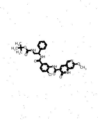 COc1cc2[nH]c(=O)c(C(=O)Nc3cc(C(=O)NC(CNC(=O)OC(C)(C)C)c4ccccc4)ccc3Cl)cc2cn1